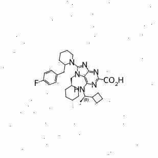 C[C@@H](Nc1nc(C(=O)O)nc2nc(N3CCCCC3Cc3ccc(F)cc3)n(C[C@H]3CC[C@H](C)CC3)c12)C1CCC1